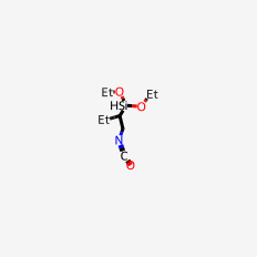 CCO[SiH](OCC)C(CC)CN=C=O